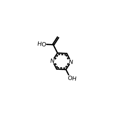 C=C(O)c1cnc(O)cn1